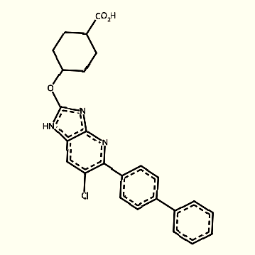 O=C(O)C1CCC(Oc2nc3nc(-c4ccc(-c5ccccc5)cc4)c(Cl)cc3[nH]2)CC1